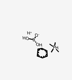 C[PH](C)(C)C.[H+].[O-]B(O)O.c1ccccc1